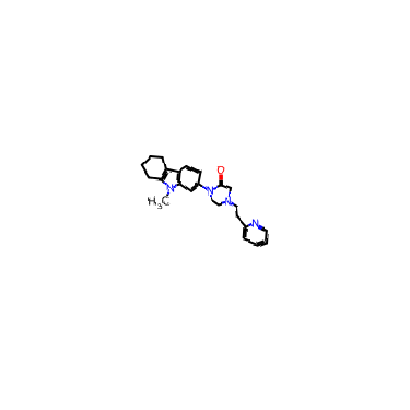 Cn1c2c(c3ccc(N4CCN(CCc5ccccn5)CC4=O)cc31)CCCC2